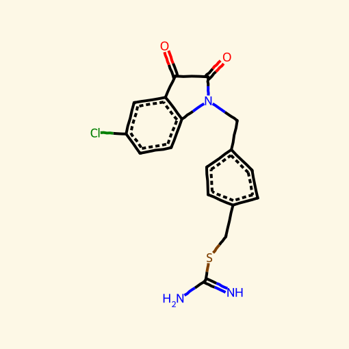 N=C(N)SCc1ccc(CN2C(=O)C(=O)c3cc(Cl)ccc32)cc1